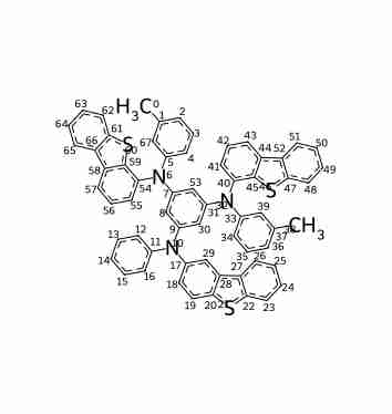 Cc1cccc(N(c2cc(N(c3ccccc3)c3ccc4sc5ccccc5c4c3)cc(N(c3cccc(C)c3)c3cccc4c3sc3ccccc34)c2)c2cccc3c2sc2ccccc23)c1